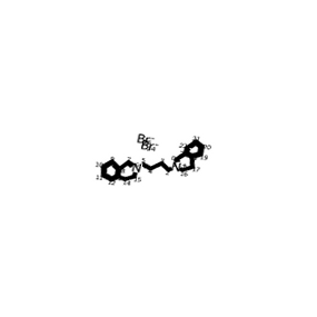 C1=[N+](CCCC[N+]2=Cc3ccccc3CC2)CCc2ccccc21.[Br-].[Br-]